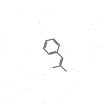 [CH2]/C(C)=C\c1ccccc1